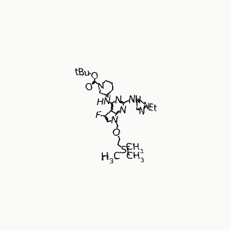 CCn1cc(Nc2nc(N[C@@H]3CCCN(C(=O)OC(C)(C)C)C3)c3c(F)cn(COCC[Si](C)(C)C)c3n2)cn1